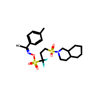 Cc1ccc(C(C#N)=NOS(=O)(=O)C(F)(F)CCS(=O)(=O)N2CCC3CCCCC3C2)cc1